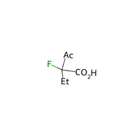 CCC(F)(C(C)=O)C(=O)O